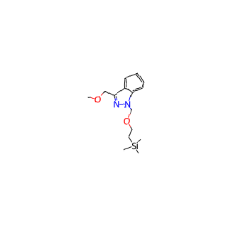 COCc1nn(COCC[Si](C)(C)C)c2ccccc12